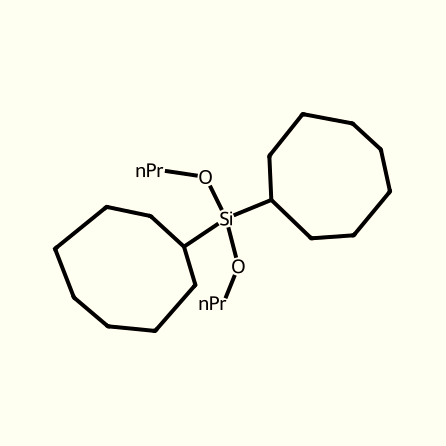 CCCO[Si](OCCC)(C1CCCCCCC1)C1CCCCCCC1